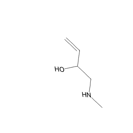 C=CC(O)CNC